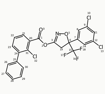 O=C(OC1=NOC(c2cc(Cl)cc(Cl)c2)(C(F)(F)F)C1)c1cccc(-c2ccccc2)c1Cl